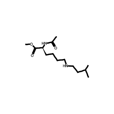 COC(=O)[C@H](CCCCNCCC(C)C)NC(C)=O